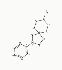 CCC1CCC2(CC1)CCN(c1ccncc1)C2